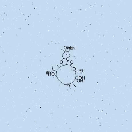 CC[C@H]1OC(=O)[C@H](C)[C@@H](O[C@H]2C[C@@](C)(OC)[C@@H](O)[C@H](C)O2)C(C)[C@@H]([C@@H](C)C(C)C)[C@](C)(O)C[C@@H](C)CN(C)[C@H](C)[C@@H](O)[C@]1(C)O